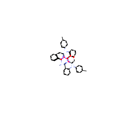 Cc1ccc(N(c2ccc(C)cc2)c2ccccc2C2=NC(c3ccccc3)N(C)C(c3ccccc3N(c3ccc(C)cc3)c3ccc(C)cc3)=N2)cc1